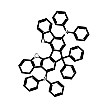 C1=Cc2oc3c4c(cc(N(c5ccccc5)c5ccccc5)c3c2CC1)C(c1ccccc1)(c1ccccc1)c1cc(N(c2ccccc2)c2ccccc2)c2c(oc3ccccc32)c1-4